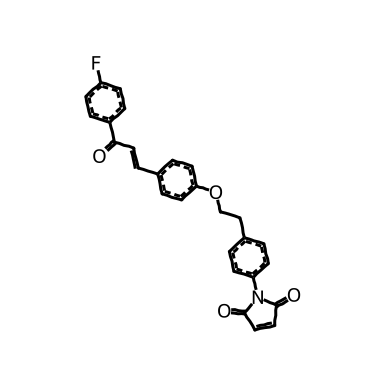 O=C(C=Cc1ccc(OCCc2ccc(N3C(=O)C=CC3=O)cc2)cc1)c1ccc(F)cc1